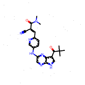 CN(C)C(=O)/C(C#N)=C/c1ccc(Nc2cnc3[nH]cc(C(=O)C(C)(C)C)c3n2)cn1